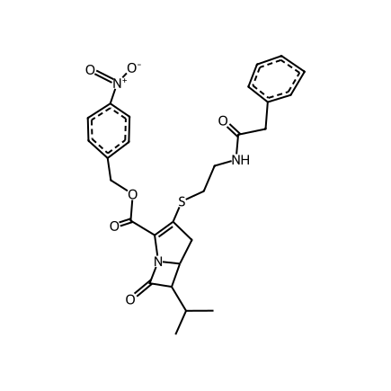 CC(C)C1C(=O)N2C(C(=O)OCc3ccc([N+](=O)[O-])cc3)=C(SCCNC(=O)Cc3ccccc3)CC12